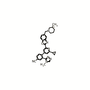 C[C@H]1CCCN(Cc2ccc3oc(-c4cc(-c5ccc(C#N)cc5-c5nncn5C)cc(C5CC5)n4)nc3c2)C1